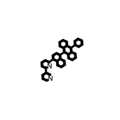 c1ccc(-c2c3ccccc3c(-c3ccc(-c4cccc(-c5cccnc5)n4)c4ccccc34)c3ccccc23)cc1